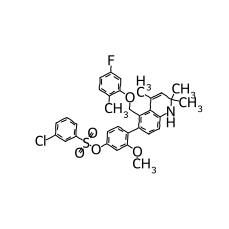 COc1cc(OS(=O)(=O)c2cccc(Cl)c2)ccc1-c1ccc2c(c1COc1cc(F)ccc1C)C(C)=CC(C)(C)N2